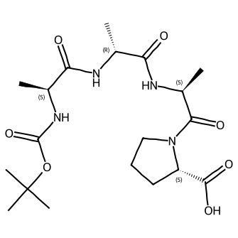 C[C@H](NC(=O)OC(C)(C)C)C(=O)N[C@H](C)C(=O)N[C@@H](C)C(=O)N1CCC[C@H]1C(=O)O